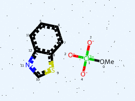 CO[Cl+3]([O-])([O-])[O-].c1ccc2scnc2c1